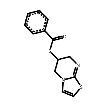 O=C(SC1CN=C2SC=CN2C1)c1ccccc1